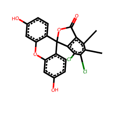 Cc1c(C)c2c(c(Cl)c1Cl)C1(OC2=O)c2ccc(O)cc2Oc2cc(O)ccc21